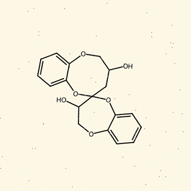 OC1COc2ccccc2OC2(C1)Oc1ccccc1OCC2O